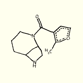 Cc1occc1C(=O)N1CCCC2NCC21